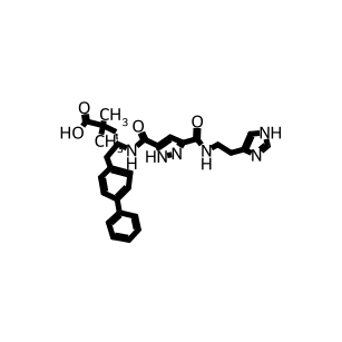 CC(C)(C[C@@H](Cc1ccc(-c2ccccc2)cc1)NC(=O)c1cc(C(=O)NCCc2c[nH]cn2)n[nH]1)C(=O)O